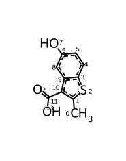 Cc1sc2ccc(O)cc2c1C(=O)O